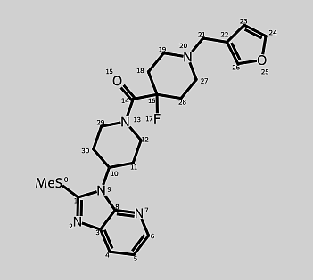 CSc1nc2cccnc2n1C1CCN(C(=O)C2(F)CCN(Cc3ccoc3)CC2)CC1